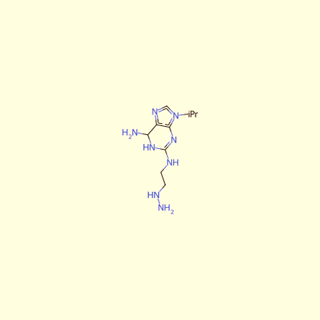 CC(C)n1cnc2c1N=C(NCCNN)NC2N